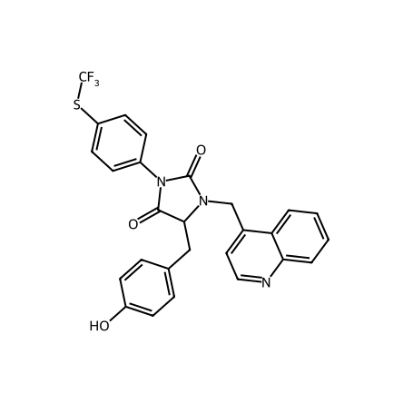 O=C1C(Cc2ccc(O)cc2)N(Cc2ccnc3ccccc23)C(=O)N1c1ccc(SC(F)(F)F)cc1